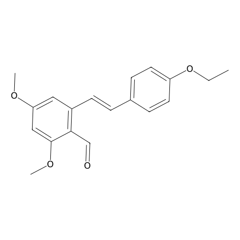 CCOc1ccc(C=Cc2cc(OC)cc(OC)c2C=O)cc1